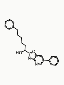 OC(CCCCCc1ccccc1)c1nc2ncc(-c3ccccc3)cc2o1